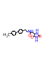 Cc1ccc(-c2ccc(CCNC(=O)CC3NC(=O)NC3=O)cc2)cc1